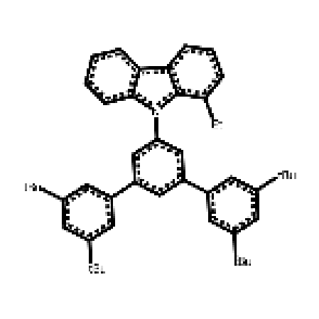 CCc1cccc2c3ccccc3n(-c3cc(-c4cc(C(C)(C)C)cc(C(C)(C)C)c4)cc(-c4cc(C(C)(C)C)cc(C(C)(C)C)c4)c3)c12